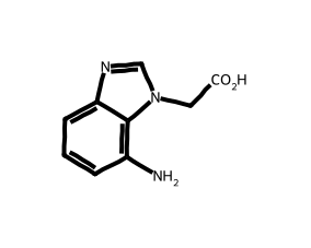 Nc1cccc2ncn(CC(=O)O)c12